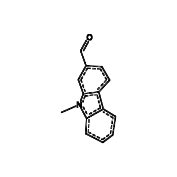 Cn1c2ccccc2c2ccc(C=O)cc21